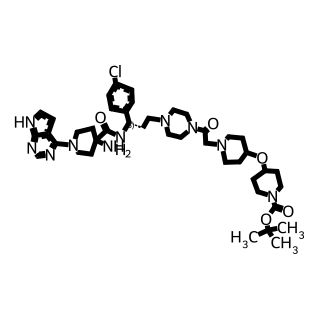 CC(C)(C)OC(=O)N1CCC(OC2CCN(CC(=O)N3CCN(CC[C@H](NC(=O)C4(N)CCN(c5ncnc6[nH]ccc56)CC4)c4ccc(Cl)cc4)CC3)CC2)CC1